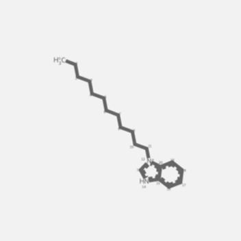 CCCCCCCCCCCC[n+]1c[nH]c2ccccc21